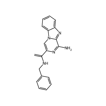 C=C(NCc1ccccc1)c1cn2c(nc3ccccc32)c(N)n1